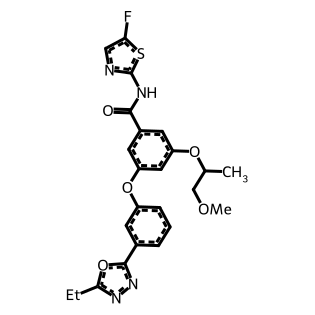 CCc1nnc(-c2cccc(Oc3cc(OC(C)COC)cc(C(=O)Nc4ncc(F)s4)c3)c2)o1